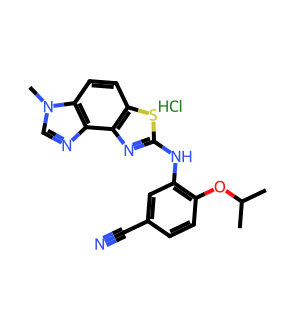 CC(C)Oc1ccc(C#N)cc1Nc1nc2c(ccc3c2ncn3C)s1.Cl